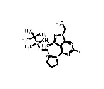 CCn1nc(C)c2c(N3CCC[C@H]3CO[Si](C)(C)C(C)(C)C)nc(Cl)nc21